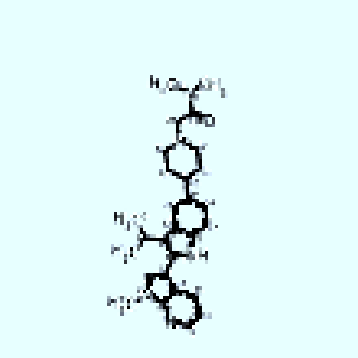 CC(C)c1c(-c2cn(C)c3ncccc23)[nH]c2ccc(C3CCN(CC(=O)N(C)C)CC3)cc12